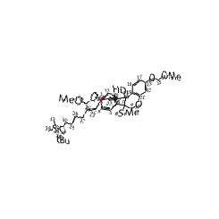 COCOc1ccc(C2(SC)COc3cc(OCOC)ccc3C2(O)C#CCCCCCCCO[Si](C)(C)C(C)(C)C)cc1